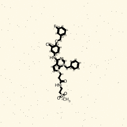 CS(=O)(=O)CCNC(=O)CCS1=C2C(=C(Nc3ccc(OCc4cccc(F)c4)c(Cl)c3)N=CN2Cc2ccccc2)C=C1